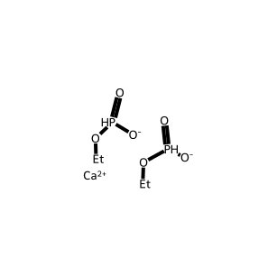 CCO[PH](=O)[O-].CCO[PH](=O)[O-].[Ca+2]